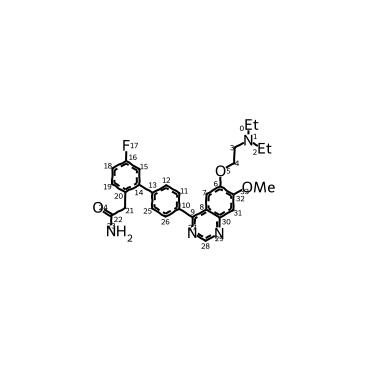 CCN(CC)CCOc1cc2c(-c3ccc(-c4cc(F)ccc4CC(N)=O)cc3)ncnc2cc1OC